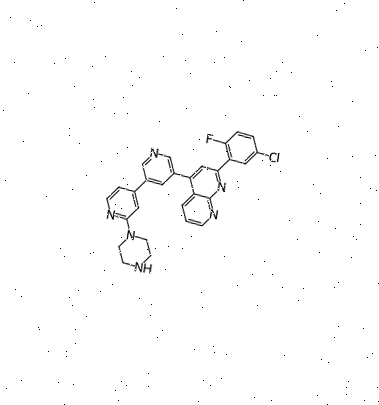 Fc1ccc(Cl)cc1-c1cc(-c2cncc(-c3ccnc(N4CCNCC4)c3)c2)c2cccnc2n1